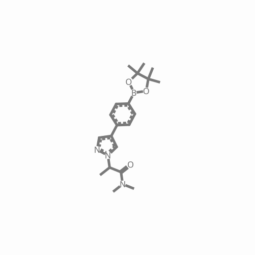 CC(C(=O)N(C)C)n1cc(-c2ccc(B3OC(C)(C)C(C)(C)O3)cc2)cn1